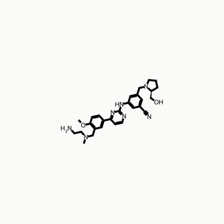 COc1ccc(-c2ccnc(Nc3cc(C#N)cc(CN4CCC[C@H]4CO)c3)n2)cc1CN(C)CCN